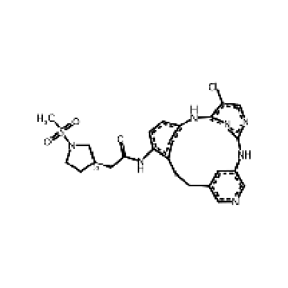 CS(=O)(=O)N1CC[C@H](CC(=O)Nc2ccc3cc2CCc2cncc(c2)Nc2ncc(Cl)c(n2)N3)C1